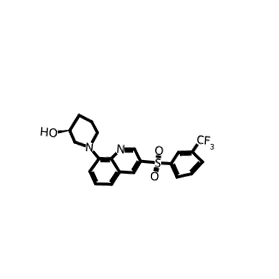 O=S(=O)(c1cccc(C(F)(F)F)c1)c1cnc2c(N3CCC[C@H](O)C3)cccc2c1